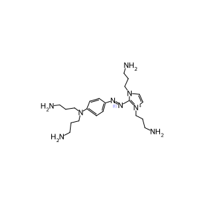 NCCCN(CCCN)c1ccc(/N=N/c2n(CCCN)cc[n+]2CCCN)cc1